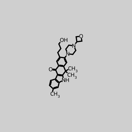 Cc1ccc2c3c([nH]c2c1)C(C)(C)c1cc(N2CCN(C4COC4)CC2)c(CCCO)cc1C3=O